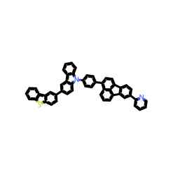 c1ccc(-c2ccc3c(c2)-c2cccc4c(-c5ccc(-n6c7ccccc7c7cc(-c8ccc9sc%10ccccc%10c9c8)ccc76)cc5)ccc-3c24)nc1